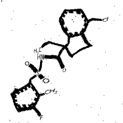 CCC1(C(=O)NS(=O)(=O)c2cccc(F)c2C)CCc2c(Cl)cccc21